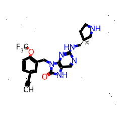 C#Cc1ccc(OC(F)(F)F)c(Cn2c(=O)[nH]c3cnc(NC[C@@H]4CCNC4)nc32)c1